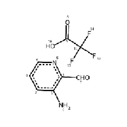 Nc1cccnc1C=O.O=C(O)C(F)(F)F